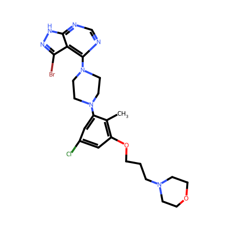 Cc1c(OCCCN2CCOCC2)cc(Cl)cc1N1CCN(c2ncnc3[nH]nc(Br)c23)CC1